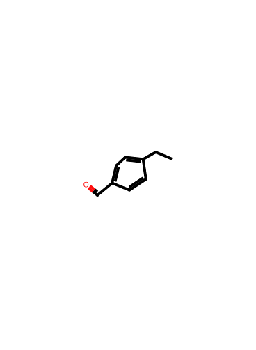 CCc1ccc([C]=O)cc1